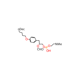 CCCCCCCCCCCCCCOc1ccc(CC(COP(O)OCCNC)OC=O)cc1